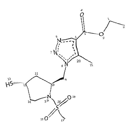 CCOC(=O)c1nnn(C[C@@H]2C[C@@H](S)CN2S(C)(=O)=O)c1C